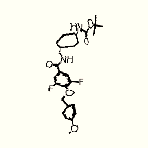 COc1ccc(COc2c(F)cc(C(=O)NC[C@H]3CC[C@H](NC(=O)OC(C)(C)C)CC3)cc2F)cc1